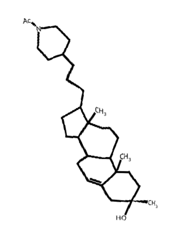 CC(=O)N1CCC(CCCC2CCC3C4CC=C5C[C@@](C)(O)CCC5(C)C4CCC23C)CC1